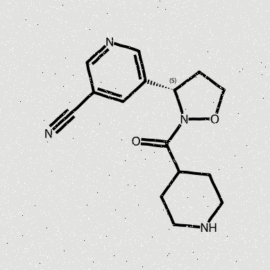 N#Cc1cncc([C@@H]2CCON2C(=O)C2CCNCC2)c1